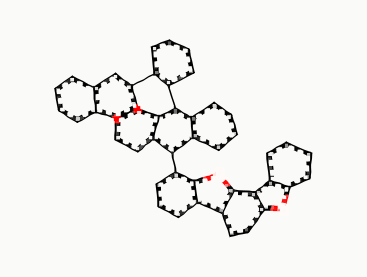 c1ccc(-c2c3ccccc3c(-c3cccc4c3oc3c4ccc4oc5ccccc5c43)c3ccccc23)c(-c2ccc3ccccc3c2)c1